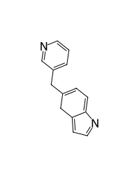 C1=NC2=CC=C(Cc3cccnc3)CC2=C1